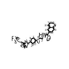 O=C(NCCOc1ccc(-c2noc(C(F)(F)F)n2)cc1)c1ccc2ncccc2c1